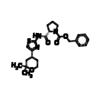 CC1(C)CC(c2csc(NC(=O)[C@@H]3CCCN3C(=O)OCc3ccccc3)n2)CCO1